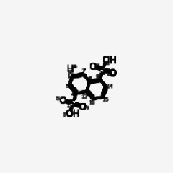 O=S(=O)(O)c1cccc2c(S(=O)(=O)O)cccc12.[H+]